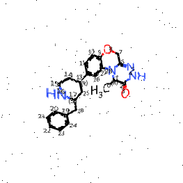 C[C@@H]1C(=O)NN=C2COc3ccc([C@@H]4CCN[C@H](Cc5ccccc5)C4)cc3N21